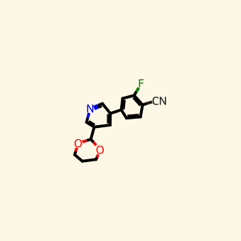 N#Cc1ccc(-c2cncc(C3OCCCO3)c2)cc1F